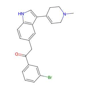 CN1CC=C(c2c[nH]c3ccc(CC(=O)c4cccc(Br)c4)cc23)CC1